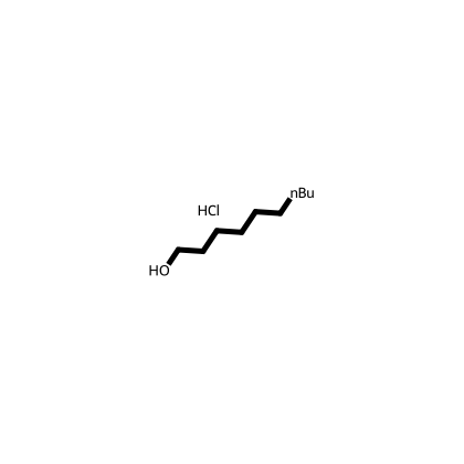 CCCCCCCCCCO.Cl